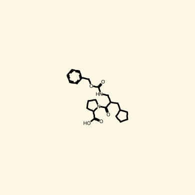 O=C(NCC(CC1CCCC1)C(=O)N1CCCC1C(=O)O)OCc1ccccc1